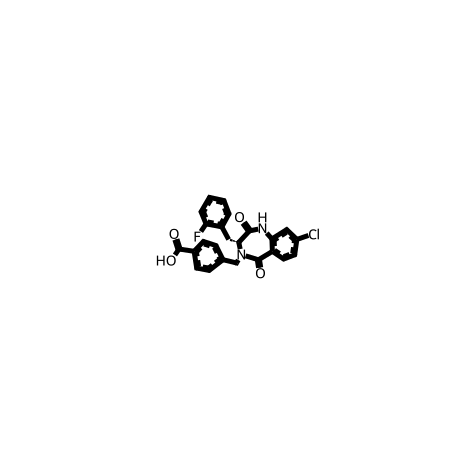 O=C(O)c1ccc(CN2C(=O)c3ccc(Cl)cc3NC(=O)[C@H]2Cc2ccccc2F)cc1